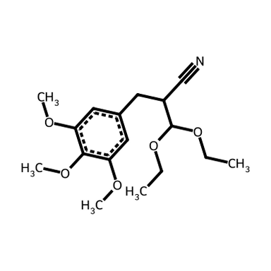 CCOC(OCC)C(C#N)Cc1cc(OC)c(OC)c(OC)c1